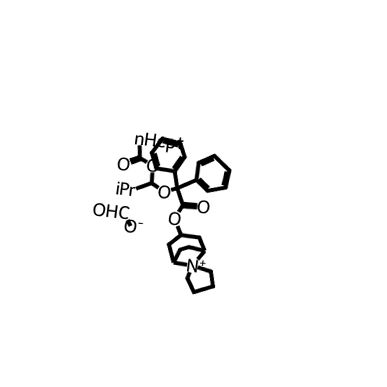 CCCCCCCC(=O)OC(OC(C(=O)OC1CC2CCC(C1)[N+]21CCCC1)(c1ccccc1)c1ccccc1)C(C)C.O=C[O-]